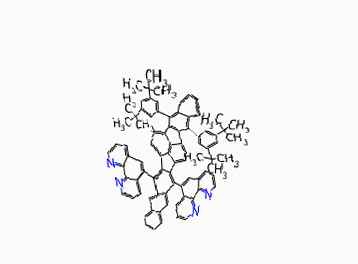 CC(C)(C)c1cc(-c2c3c(c(-c4cc(C(C)(C)C)cc(C(C)(C)C)c4)c4ccccc24)-c2ccc4c5c(ccc-3c25)-c2c-4c(-c3cc4cccnc4c4ncccc34)c3cc4ccccc4cc3c2-c2cc3cccnc3c3ncccc23)cc(C(C)(C)C)c1